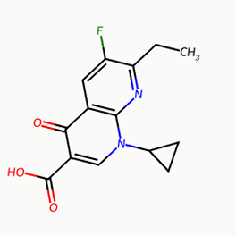 CCc1nc2c(cc1F)c(=O)c(C(=O)O)cn2C1CC1